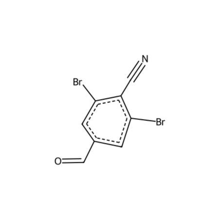 N#Cc1c(Br)cc(C=O)cc1Br